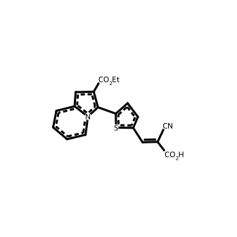 CCOC(=O)c1cc2ccccn2c1-c1ccc(/C=C(\C#N)C(=O)O)s1